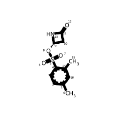 Cc1ccc(S(=O)(=O)O[C@H]2CC(=O)N2)c(C)c1